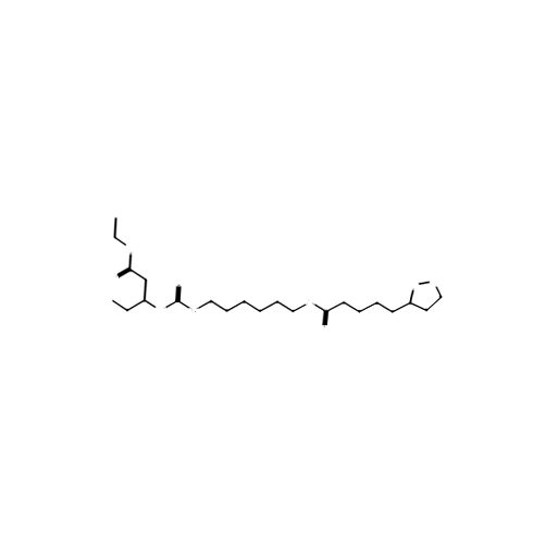 CCOC(=O)CC(CC)OC(=O)NCCCCCCNC(=O)CCCCC1CCSS1